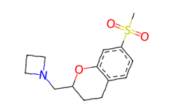 CS(=O)(=O)c1ccc2c(c1)OC(CN1CCC1)CC2